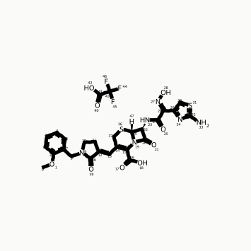 COc1ccccc1CN1CCC(=CC2=C(C(=O)O)N3C(=O)[C@@H](NC(=O)C(=NO)c4csc(N)n4)[C@H]3SC2)C1=O.O=C(O)C(F)(F)F